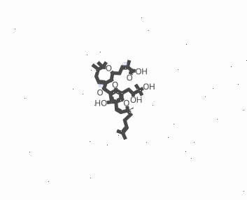 CC(C)=CCC[C@@]1(C)C=Cc2c(O)c3c(c(CC(O)C(C)(C)O)c2O1)OC1/C(=C\CC(C)C(C)(C)OC1C/C=C(/C)C(=O)O)C3=O